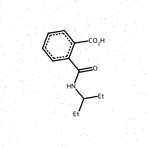 C[CH]C(CC)NC(=O)c1ccccc1C(=O)O